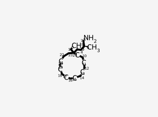 CCC1(CC[C@H](C)CN)CCCCCCCCCCCCCCC1